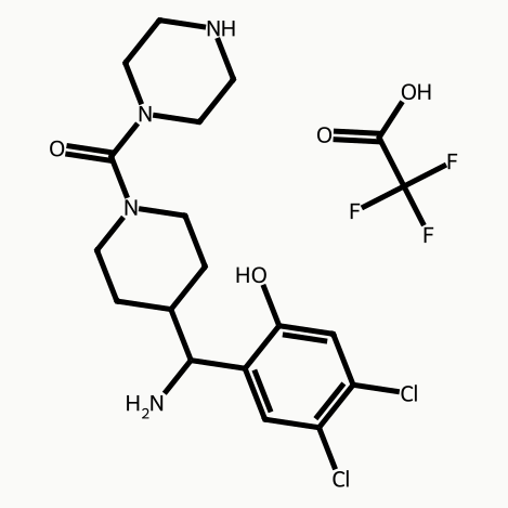 NC(c1cc(Cl)c(Cl)cc1O)C1CCN(C(=O)N2CCNCC2)CC1.O=C(O)C(F)(F)F